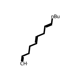 [CH]=CCCC=CCC=CCCCC